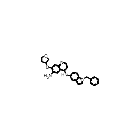 Nc1cc2c(Nc3ccc4c(ccn4Cc4ccccc4)c3)ccnc2cc1OC1CCOC1